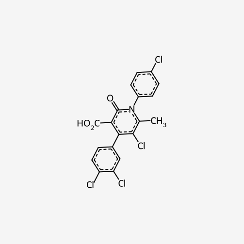 Cc1c(Cl)c(-c2ccc(Cl)c(Cl)c2)c(C(=O)O)c(=O)n1-c1ccc(Cl)cc1